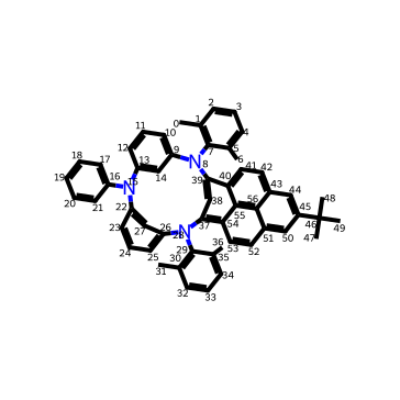 Cc1cccc(C)c1N1c2cccc(c2)N(c2ccccc2)c2cccc(c2)N(c2c(C)cccc2C)c2cc1c1ccc3cc(C(C)(C)C)cc4ccc2c1c34